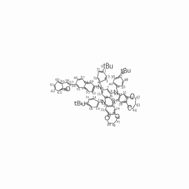 CC(C)(C)c1ccc(N(c2cc3c4c(c2)N(c2ccc(C(C)(C)C)cc2)c2cc5c(cc2B4c2cc4c(cc2N3c2ccc(C(C)(C)C)cc2)OCCCO4)OCCCO5)c2ccc3cc(-c4cc5ccccc5o4)ccc3c2)cc1